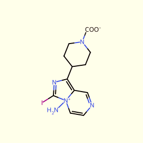 N[N+]12C=CN=CC1=C(C1CCN(C(=O)[O-])CC1)N=C2I